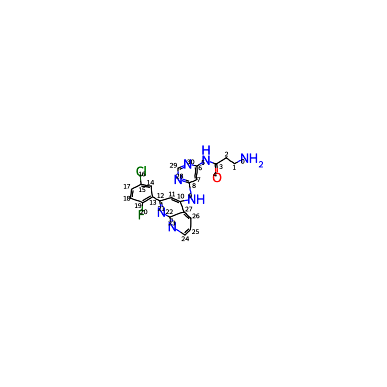 NCCC(=O)Nc1cc(Nc2cc(-c3cc(Cl)ccc3F)nc3ncccc23)ncn1